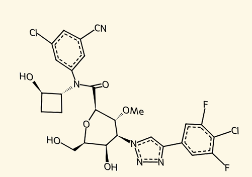 CO[C@@H]1[C@@H](n2cc(-c3cc(F)c(Cl)c(F)c3)nn2)[C@@H](O)[C@@H](CO)O[C@H]1C(=O)N(c1cc(Cl)cc(C#N)c1)[C@@H]1CC[C@H]1O